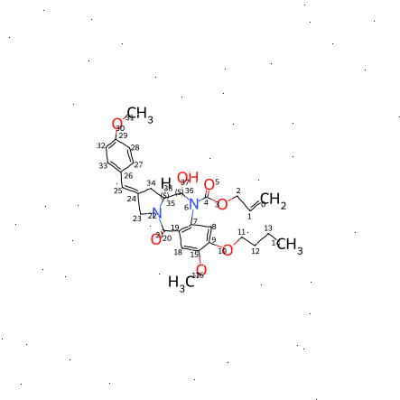 C=CCOC(=O)N1c2cc(OCCCC)c(OC)cc2C(=O)N2CC(=Cc3ccc(OC)cc3)C[C@H]2[C@@H]1O